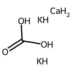 O=C(O)O.[CaH2].[KH].[KH]